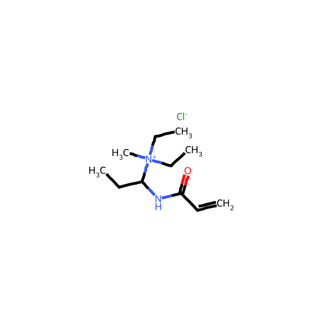 C=CC(=O)NC(CC)[N+](C)(CC)CC.[Cl-]